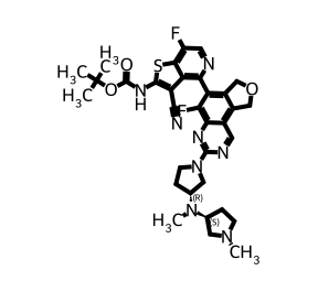 CN1CC[C@H](N(C)[C@@H]2CCN(c3ncc4c5c(c(-c6ncc(F)c7sc(NC(=O)OC(C)(C)C)c(C#N)c67)c(F)c4n3)COC5)C2)C1